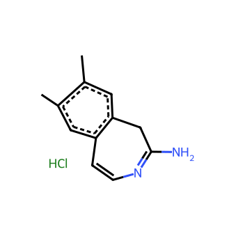 Cc1cc2c(cc1C)CC(N)=NC=C2.Cl